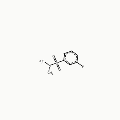 CN(C)S(=O)(=O)c1[c]ccc(F)c1